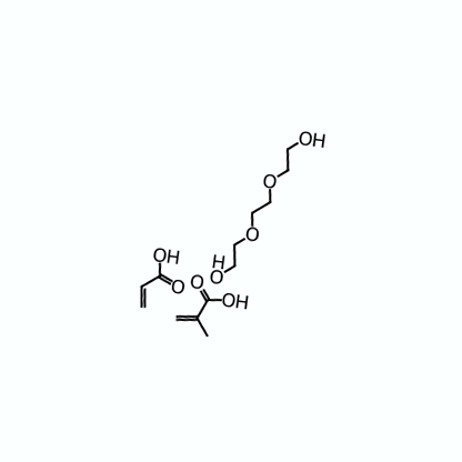 C=C(C)C(=O)O.C=CC(=O)O.OCCOCCOCCO